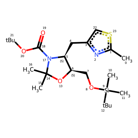 Cc1nc(C[C@H]2[C@@H](CO[Si](C)(C)C(C)(C)C)OC(C)(C)N2C(=O)OC(C)(C)C)cs1